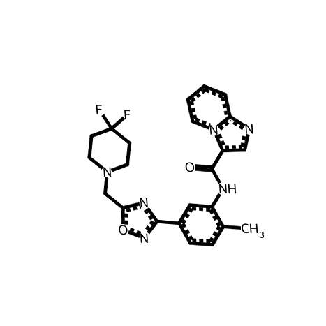 Cc1ccc(-c2noc(CN3CCC(F)(F)CC3)n2)cc1NC(=O)c1cnc2ccccn12